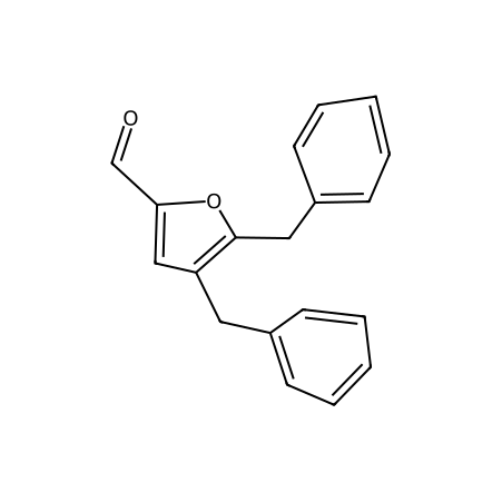 O=Cc1cc(Cc2ccccc2)c(Cc2ccccc2)o1